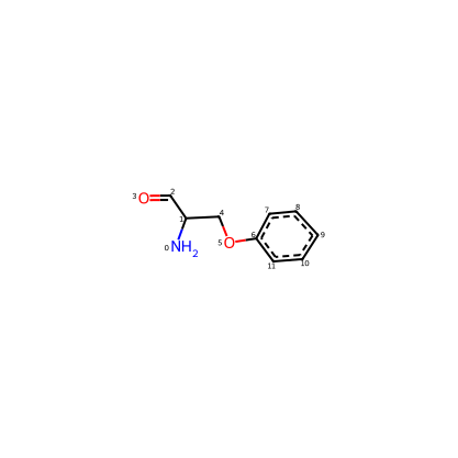 NC(C=O)COc1ccccc1